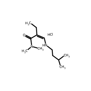 CCC(=CNCCC(C)C)C(=O)N(C)C.Cl